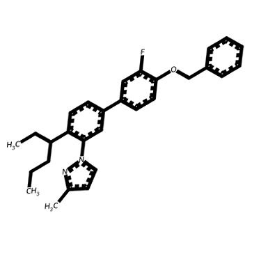 CCCC(CC)c1ccc(-c2ccc(OCc3ccccc3)c(F)c2)cc1-n1ccc(C)n1